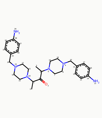 CC(C(=O)C(C)N1CCN(Cc2ccc(N)cc2)CC1)N1CCN(Cc2ccc(N)cc2)CC1